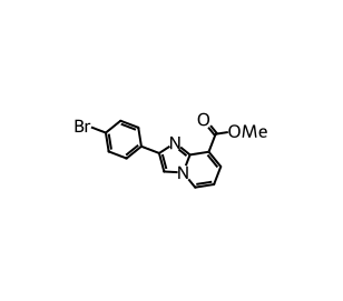 COC(=O)c1cccn2cc(-c3ccc(Br)cc3)nc12